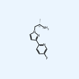 C[C@H](N)Cn1ccc(-c2ccc(F)cn2)n1